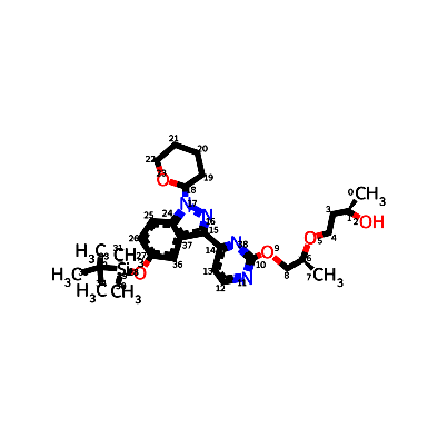 C[C@@H](O)CCO[C@@H](C)COc1nccc(-c2nn(C3CCCCO3)c3ccc(O[Si](C)(C)C(C)(C)C)cc23)n1